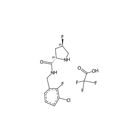 O=C(NCc1cccc(Cl)c1F)[C@@H]1C[C@@H](F)CN1.O=C(O)C(F)(F)F